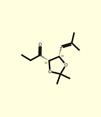 CCC(=O)[C@H]1OC(C)(C)O[C@H]1C=C(C)C